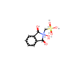 O=C1c2ccccc2C(=O)[N+]1(O)CS(=O)(=O)[O-]